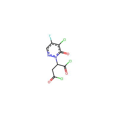 O=C(Cl)CC(C(=O)Cl)n1ncc(F)c(Cl)c1=O